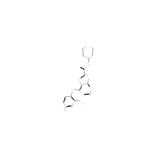 CC(C)Bc1cc(F)ccc1Nc1ncnc2sc(C(=O)NC3CCOCC3)nc12